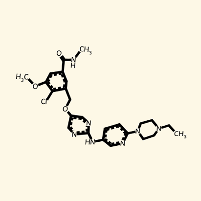 CCN1CCN(c2ccc(Nc3ncc(OCc4cc(C(=O)NC)cc(OC)c4Cl)cn3)cn2)CC1